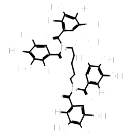 [2H]c1c(C(=O)N(CCCC[C@@H](C(=O)O)N(C(=O)c2cc(O)c(O)c(O)c2[2H])C(=O)c2cc(O)c(O)c(O)c2[2H])C(=O)c2cc(O)c(O)c(O)c2[2H])cc(O)c(O)c1O